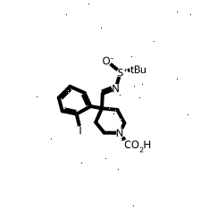 CC(C)(C)[S+]([O-])N=CC1(c2ccccc2I)CCN(C(=O)O)CC1